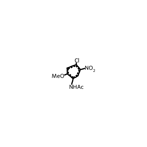 COc1cc(Cl)c([N+](=O)[O-])cc1NC(C)=O